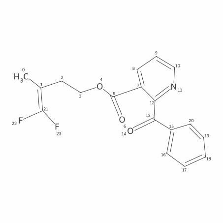 CC(CCOC(=O)c1cccnc1C(=O)c1ccccc1)=C(F)F